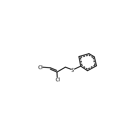 Cl/C=C(\Cl)CSc1ccccc1